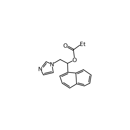 CCC(=O)OC(Cn1ccnc1)c1cccc2ccccc12